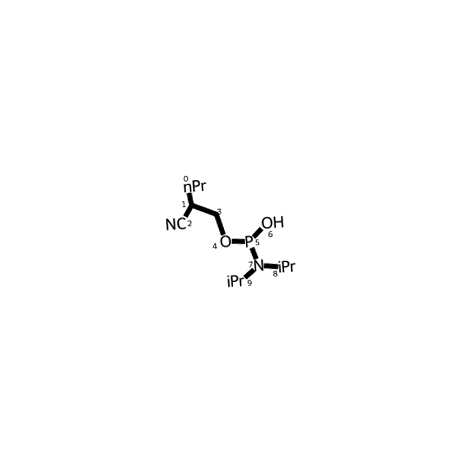 CCCC(C#N)COP(O)N(C(C)C)C(C)C